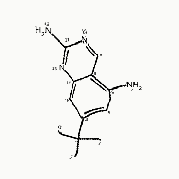 CC(C)(C)c1cc(N)c2cnc(N)nc2c1